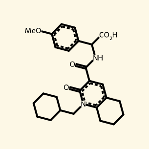 COc1ccc(C(NC(=O)c2cc3c(n(CC4CCCCC4)c2=O)CCCC3)C(=O)O)cc1